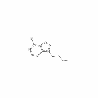 CCCCn1ccc2c(Br)nccc21